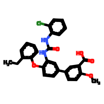 CCc1ccccc1Oc1ccc(-c2ccc(OC)c(C(=O)O)c2)cc1NC(=O)Nc1ccccc1Cl